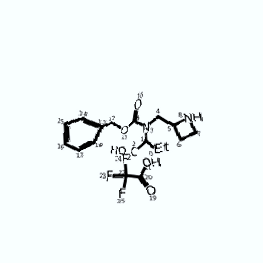 CCC(C(=O)O)N(CC1CCN1)C(=O)OCc1ccccc1.O=C(O)C(F)(F)F